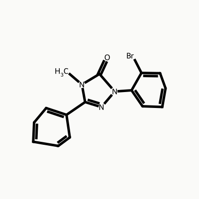 Cn1c(-c2ccccc2)nn(-c2ccccc2Br)c1=O